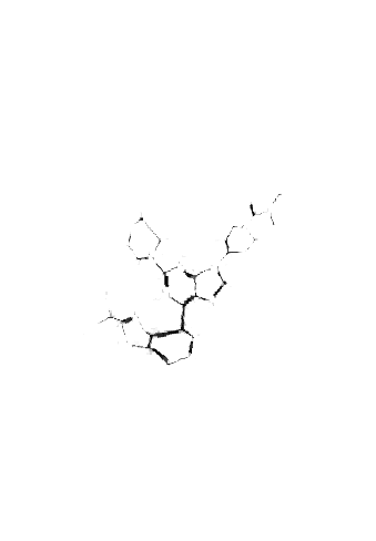 CN(C)C(=O)N1CCC(n2cnc3c(-c4cccc5[nH]c(C(F)F)nc45)nc(N4CCOCC4)nc32)CC1